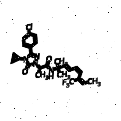 C\C=C(/C=C\C=C\C(C)(C)NC(=O)C(C)n1nc(-c2ccc(Cl)cc2)n(C2CC2)c1=O)C(F)(F)F